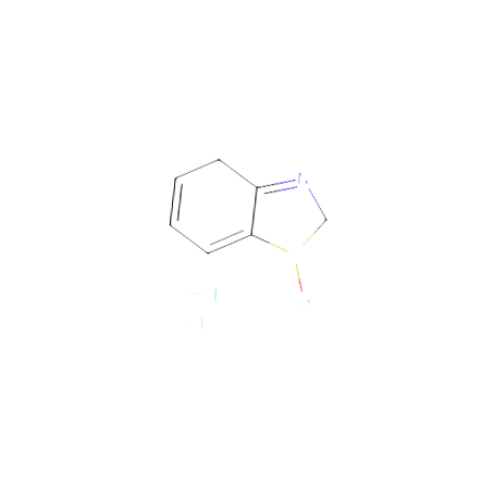 Cl.Cl.[O-][S+]1CN=C2CC=CC=C21